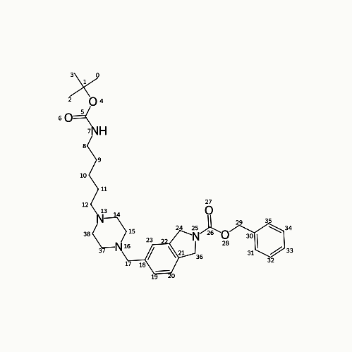 CC(C)(C)OC(=O)NCCCCCN1CCN(Cc2ccc3c(c2)CN(C(=O)OCc2ccccc2)C3)CC1